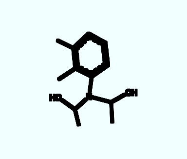 Cc1cccc(N(C(C)O)C(C)O)c1C